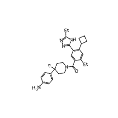 CCc1nnc(-c2cc(C(=O)N3CCC(F)(c4ccc(N)cc4)CC3)c(CC)cc2C2CCC2)[nH]1